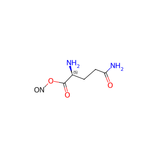 NC(=O)CC[C@H](N)C(=O)ON=O